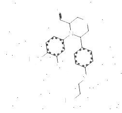 CCCOc1ccc(C2COCC(C=O)N2c2ccc(N)c(N)c2)cc1